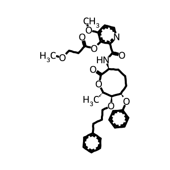 COCCC(=O)Oc1c(OC)ccnc1C(=O)N[C@H]1CCC[C@H](Oc2ccccc2)[C@@H](OCCCc2ccccc2)[C@H](C)OC1=O